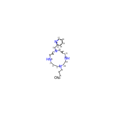 O=NCCCN1CCCNCCN(Cc2ccccn2)CCCNCC1